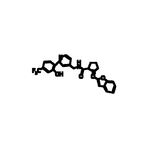 O=C(NCc1ccnc(-c2ccc(C(F)(F)F)cc2O)c1)C1CCCN1Oc1cc2ccccc2o1